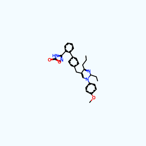 CCCC1=NC(CC)N(c2ccc(OC)cc2)C=C1Cc1ccc(-c2ccccc2-c2noc(=O)[nH]2)cc1